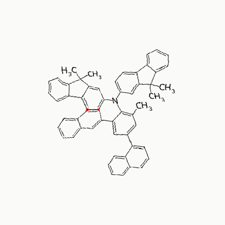 Cc1cc(-c2cccc3ccccc23)cc(-c2ccc3ccccc3c2)c1N(c1ccc2c(c1)C(C)(C)c1ccccc1-2)c1ccc2c(c1)C(C)(C)c1ccccc1-2